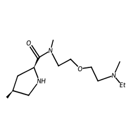 CCN(C)CCOCCN(C)C(=O)[C@@H]1C[C@H](C)CN1